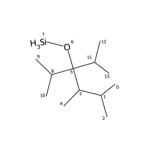 CC(C)C(C)C(O[SiH3])(C(C)C)C(C)C